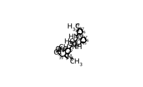 CCn1cc2c3c1CC(C(=O)N[C@@H](Cc1ccccc1)[C@H](O)CNc1cccc(C)c1)C=C3N(C)S(=O)(=O)CC2